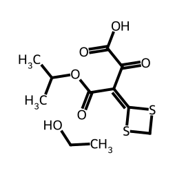 CC(C)OC(=O)C(C(=O)C(=O)O)=C1SCS1.CCO